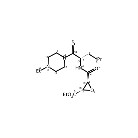 CCOC(=O)[C@H]1O[C@@H]1C(=O)N[C@@H](CC(C)C)C(=O)N1CCN(CC)CC1